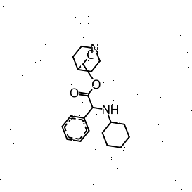 O=C(OC1CN2CCC1CC2)C(NC1CCCCC1)c1ccccc1